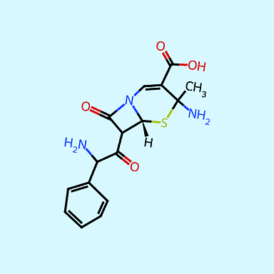 CC1(N)S[C@@H]2C(C(=O)C(N)c3ccccc3)C(=O)N2C=C1C(=O)O